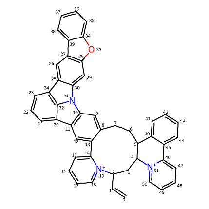 C=CC1CC2C(CCc3cc4c(cc3-c3cccc[n+]31)c1cccc3c5cc6c(cc5n4c13)oc1ccccc16)c1ccccc1-c1cccc[n+]12